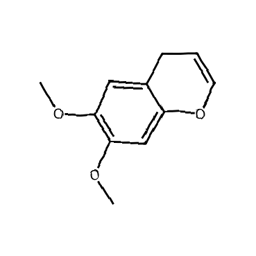 COc1cc2c(cc1OC)OC=CC2